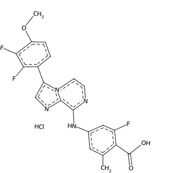 COc1ccc(-c2cnc3c(Nc4cc(C)c(C(=O)O)c(F)c4)nccn23)c(F)c1F.Cl